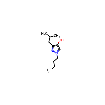 CCCCn1cc(O)c(CC(C)C)n1